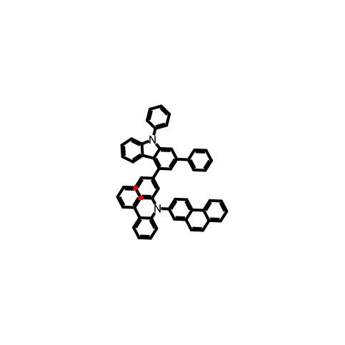 c1ccc(-c2cc(-c3cccc(N(c4ccc5c(ccc6ccccc65)c4)c4ccccc4-c4ccccc4)c3)c3c4ccccc4n(-c4ccccc4)c3c2)cc1